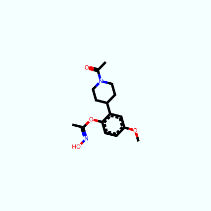 COc1ccc(OC(C)=NO)c(C2CCN(C(C)=O)CC2)c1